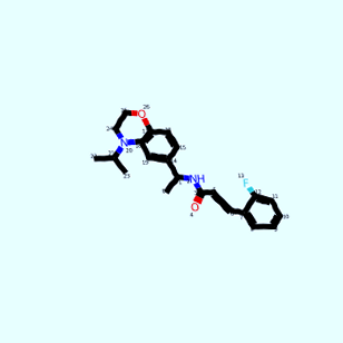 CC(NC(=O)C=Cc1ccccc1F)c1ccc2c(c1)N(C(C)C)CCO2